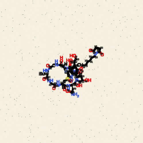 CC[C@H](C)[C@@H]1NC(=O)CNC(O)[C@H]2Cc3c([nH]c4cc(OCCCCCCN5C(=O)C=CC5=O)ccc34)[S+]([O-])C[C@H](NC(=O)CNC1=O)C(=O)N[C@@H](CC(N)=O)C(O)N1C[C@H](O)C[C@H]1C(=O)N[C@@H]([C@@H](C)[C@@H](O)CO)C(=O)N2